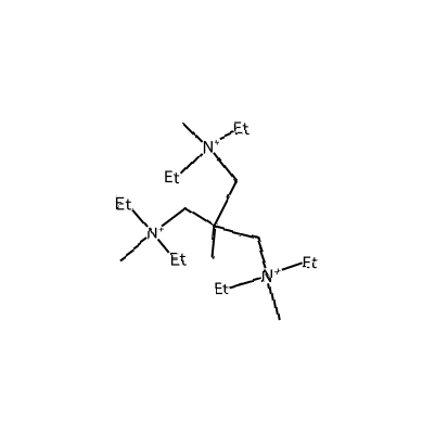 CC[N+](C)(CC)CC(C)(C[N+](C)(CC)CC)C[N+](C)(CC)CC